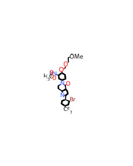 COCCOCOc1ccc(N2CCc3nc(-c4ccc(C(F)(F)F)cc4Br)ccc3C2=O)cc1NS(C)(=O)=O